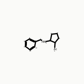 CC(=O)C1CCCC1NCc1ccccc1